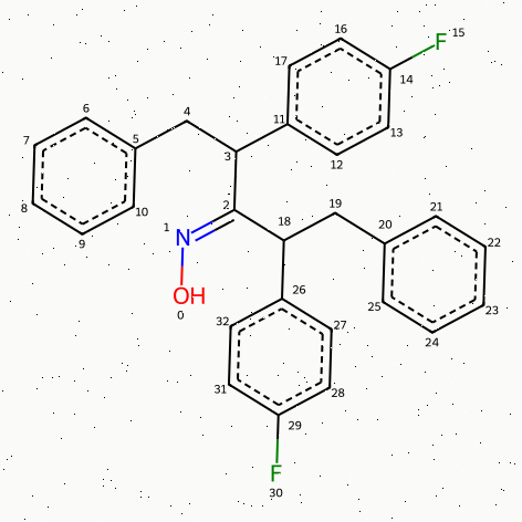 ON=C(C(Cc1ccccc1)c1ccc(F)cc1)C(Cc1ccccc1)c1ccc(F)cc1